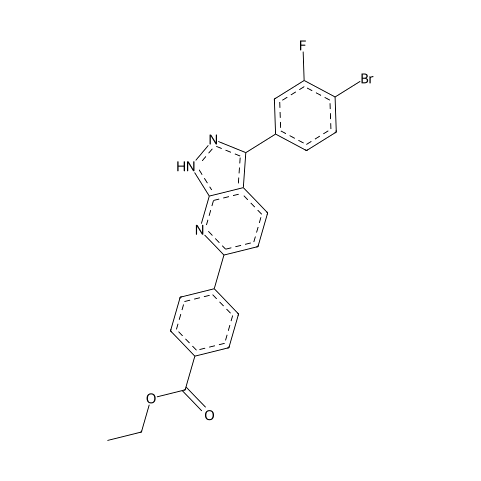 CCOC(=O)c1ccc(-c2ccc3c(-c4ccc(Br)c(F)c4)n[nH]c3n2)cc1